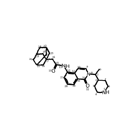 CC(C1CCNCC1)n1ccc2c(NC(=O)CC34CC5CC(CC(C5)C3)C4)cccc2c1=O